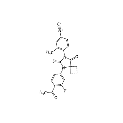 [C-]#[N+]c1ccc(N2C(=O)C3(CCC3)N(c3ccc(C(C)=O)c(F)c3)C2=S)c(C)c1